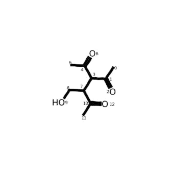 CC(=O)[C](C(C)=O)C(CO)C(C)=O